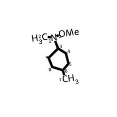 CON(C)C1CCC(C)CC1